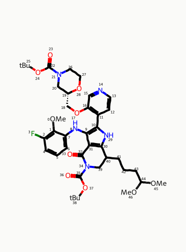 COc1c(F)cccc1Nc1c(-c2ccncc2OC[C@@H]2CN(C(=O)OC(C)(C)C)CCO2)[nH]c2c1C(=O)N(C(=O)OC(C)(C)C)CC2CCCC(OC)OC